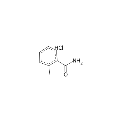 Cc1ccccc1C(N)=O.Cl